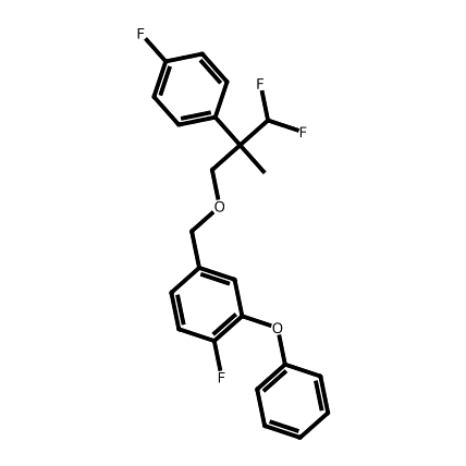 CC(COCc1ccc(F)c(Oc2ccccc2)c1)(c1ccc(F)cc1)C(F)F